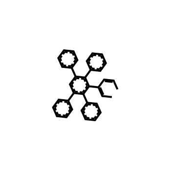 C/C=C\C(=C/C)c1c(-c2ccccc2)c(-c2ccccc2)cc(-c2ccccc2)c1-c1ccccc1